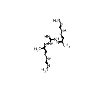 CC(C=NNC=NN)=NNC(=N)NN=C(C)C=NNC=NN